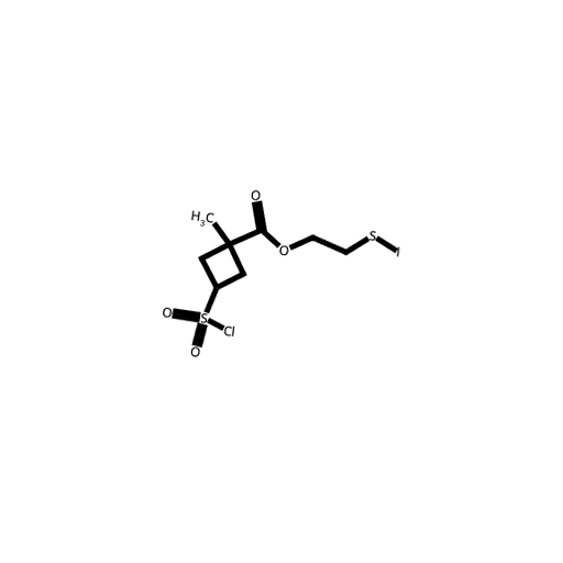 CC1(C(=O)OCCSI)CC(S(=O)(=O)Cl)C1